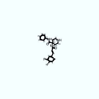 O=C(/C=C/c1ccc(F)c(F)c1)NC1(C(=O)Nc2ccccc2)CCNCC1